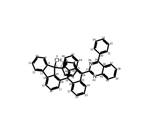 CC1(c2ccccc2)c2ccccc2-c2cccc(-c3c4ccccc4c(-c4nc(-c5ccccc5)c5ccccc5n4)c4ccccc34)c21